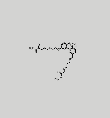 CNC(=O)CCCOCCOc1ccc(C)c(-c2cc(COCCCOCC(=O)NC)ccc2C)c1